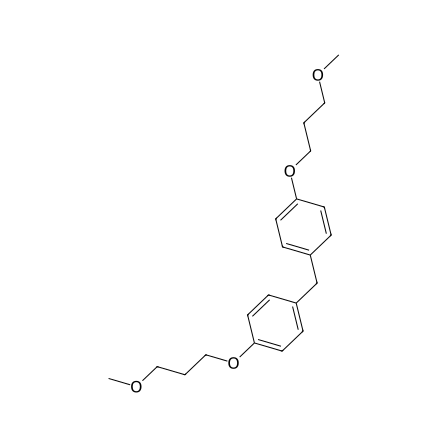 COCCCOc1ccc(Cc2ccc(OCCCOC)cc2)cc1